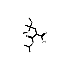 COC(C)(CC(C(=O)O)C(=O)OC(C)C)OC